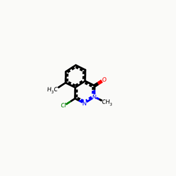 Cc1cccc2c(=O)n(C)nc(Cl)c12